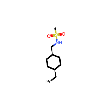 CC(C)C[C@H]1CC[C@@H](CNS(C)(=O)=O)CC1